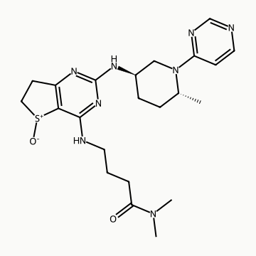 C[C@@H]1CC[C@@H](Nc2nc3c(c(NCCCC(=O)N(C)C)n2)[S+]([O-])CC3)CN1c1ccncn1